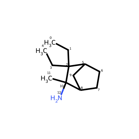 CCC1(CC)C2CCC(C2)C1(C)N